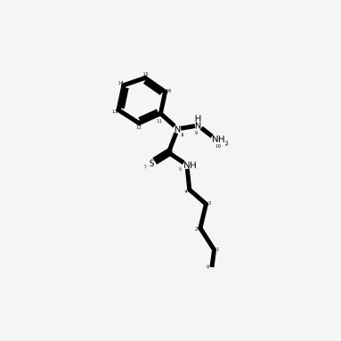 CCCCCNC(=S)N(NN)c1ccccc1